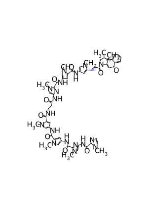 CC1CN(C(=O)/C=C/c2cc(NC(=O)c3cc(NC(=O)c4nc(NC(=O)CCNC(=O)c5cc(NC(=O)c6cc(NC(=O)c7nc(NC(=O)c8nccn8C)cn7C)cn6C)cn5C)cn4C)cn3C)cn2C)C2=CC(=O)c3ccccc3[C@]21C